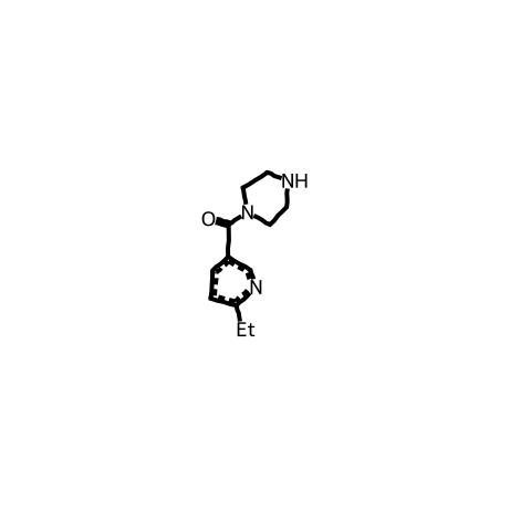 CCc1ccc(C(=O)N2CCNCC2)cn1